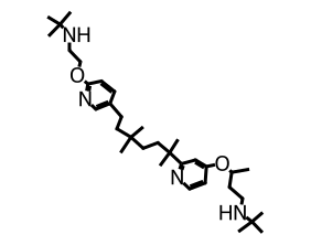 CC(CCNC(C)(C)C)Oc1ccnc(C(C)(C)CCC(C)(C)CCc2ccc(OCCNC(C)(C)C)nc2)c1